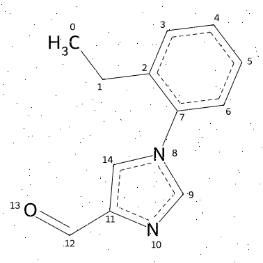 CCc1ccccc1-n1cnc(C=O)c1